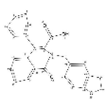 O=C(O)c1c(-c2ccccc2)c2ccccc2c(=O)n1Cc1ccc2c(c1)CCO2